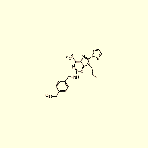 CCCn1c(-n2cccn2)nc2c(N)nc(NCc3ccc(CO)cc3)nc21